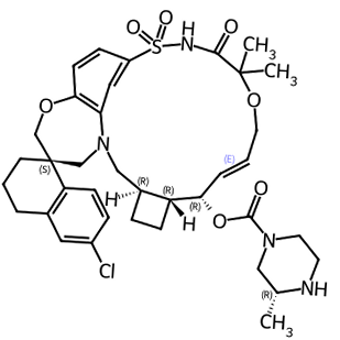 C[C@@H]1CN(C(=O)O[C@H]2/C=C/COC(C)(C)C(=O)NS(=O)(=O)c3ccc4c(c3)N(C[C@@H]3CC[C@H]32)C[C@@]2(CCCc3cc(Cl)ccc32)CO4)CCN1